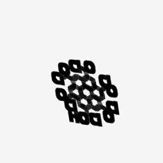 O=C(Cl)c1cc2c(C(=O)Cl)cc3c(C(=O)Cl)cc4c(C(O)Cl)cc5c(C(=O)Cl)cc6c(C(=O)Cl)cc1c1c2c3c4c5c61